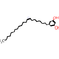 CCCCCCCCCCCC/C=C\CCCCCCCc1cc(O)cc(O)c1